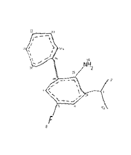 CC(C)c1cc(F)cc(-c2ccccc2)c1N